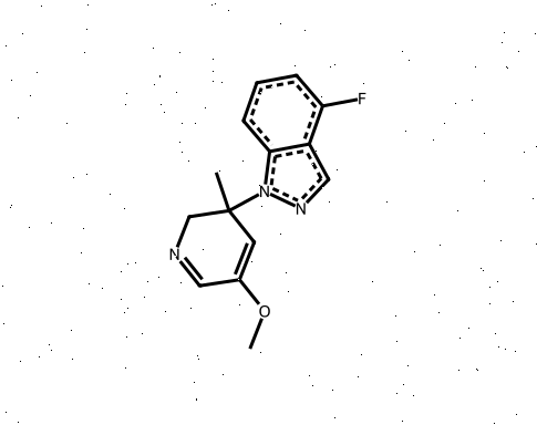 COC1=CC(C)(n2ncc3c(F)cccc32)CN=C1